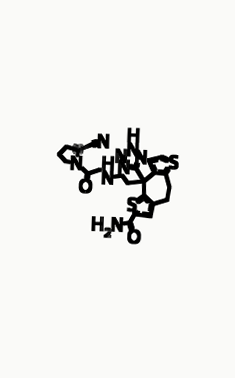 N#C[C@@H]1CCCN1C(=O)CNCCC1(c2nn[nH]n2)c2ccsc2CCc2cc(C(N)=O)sc21